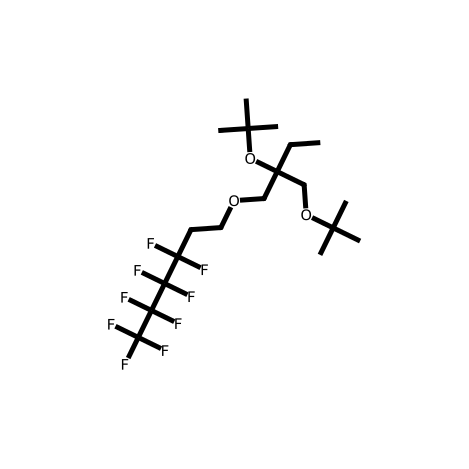 CCC(COCCC(F)(F)C(F)(F)C(F)(F)C(F)(F)F)(COC(C)(C)C)OC(C)(C)C